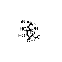 CCCCCCCCCC(=O)C[C@@]1(O)O[C@H](CO)[C@@H](O)[C@H](O)[C@H]1O